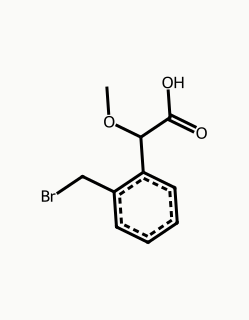 COC(C(=O)O)c1ccccc1CBr